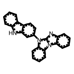 c1ccc2c(c1)nc1n(-c3ccc4c(c3)[nH]c3ccccc34)c3ccccc3n21